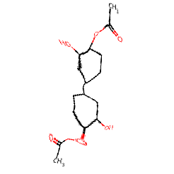 CC(=O)OC1CCC(C2CCC(OC(C)=O)C(O)C2)CC1O